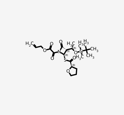 C=CCOC(=O)C(=O)N1C(=O)[C@H]([C@@H](C)O[Si](C)(C)C(C)(C)C)[C@H]1SC(=O)[C@H]1CCCO1